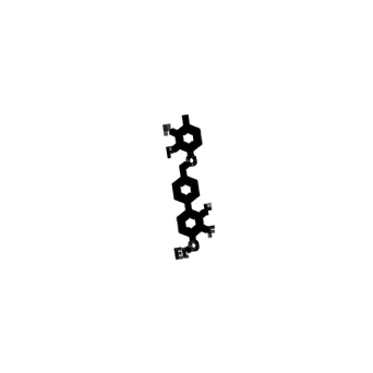 CCOc1ccc(-c2ccc(COc3ccc(C)c(F)c3F)cc2)c(F)c1F